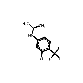 [CH2][C@H](C)Nc1ccc(C(F)(F)F)c(Cl)c1